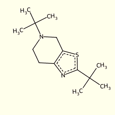 CC(C)(C)c1nc2c(s1)CN(C(C)(C)C)CC2